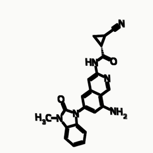 Cn1c(=O)n(-c2cc(N)c3cnc(NC(=O)[C@@H]4CC4C#N)cc3c2)c2ccccc21